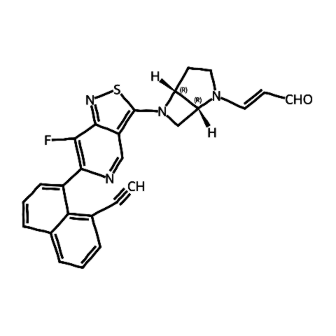 C#Cc1cccc2cccc(-c3ncc4c(N5C[C@@H]6[C@H]5CCN6C=CC=O)snc4c3F)c12